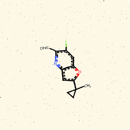 CC1(c2cc3nc(C=O)c(F)cc3o2)CC1